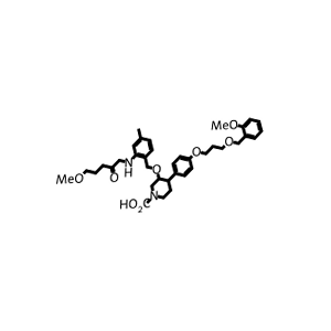 COCCCC(=O)CNc1cc(C)ccc1COC1CN(C(=O)O)CCC1c1ccc(OCCCOCc2ccccc2OC)cc1